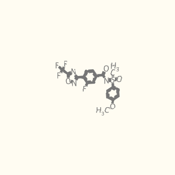 COc1ccc(S(C)(=O)=NC(=O)c2ccc(-c3noc(C(F)(F)F)n3)c(F)c2)cc1